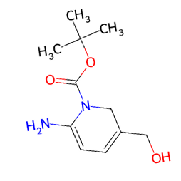 CC(C)(C)OC(=O)N1CC(CO)=CC=C1N